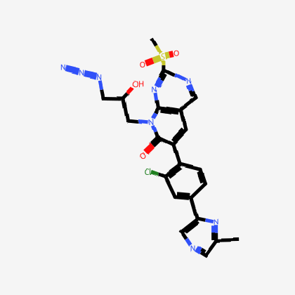 Cc1cncc(-c2ccc(-c3cc4cnc(S(C)(=O)=O)nc4n(CC(O)CN=[N+]=[N-])c3=O)c(Cl)c2)n1